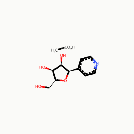 CC(=O)O.OC[C@H]1O[C@H](c2ccncc2)[C@H](O)[C@@H]1O